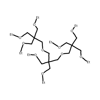 CCOCC(COCC)(COCC)COCC(COCC)(COCC)COCC(COCC)(COCC)COCC